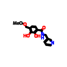 COOCc1ccc(C(=O)NCc2cccnc2)c(O)c1O